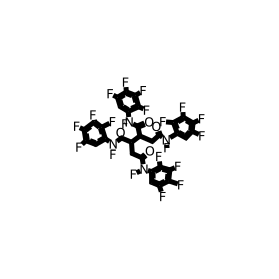 O=C(CC(C(=O)N(F)c1cc(F)c(F)c(F)c1F)C(CC(=O)N(F)c1cc(F)c(F)c(F)c1F)C(=O)N(F)c1cc(F)c(F)c(F)c1F)N(F)c1cc(F)c(F)c(F)c1F